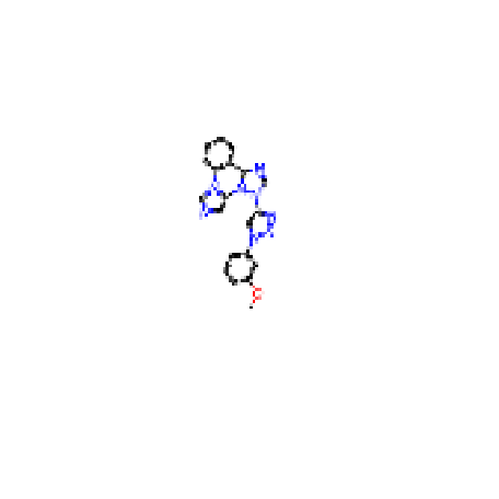 COc1cccc(-n2cc(N3C=NC4c5ccccc5-n5cncc5N43)nn2)c1